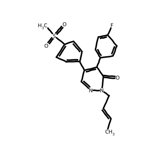 CC=CCn1ncc(-c2ccc(S(C)(=O)=O)cc2)c(-c2ccc(F)cc2)c1=O